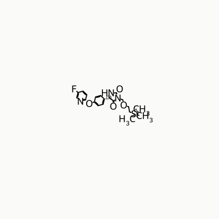 C[Si](C)(C)CCOCN1C(=O)N[C@@H](c2ccc(Oc3ccc(F)cn3)cc2)C1=O